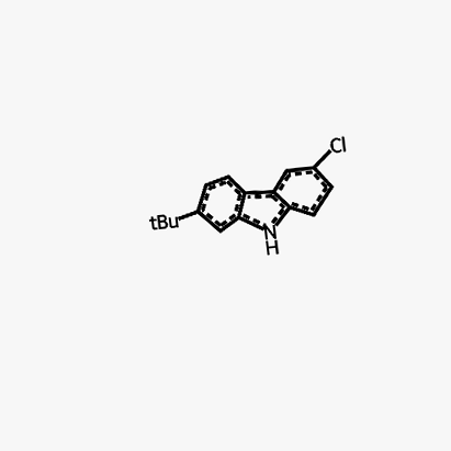 CC(C)(C)c1ccc2c(c1)[nH]c1ccc(Cl)cc12